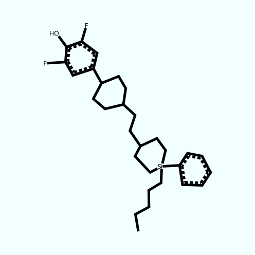 CCCCC[Si]1(c2ccccc2)CCC(CCC2CCC(c3cc(F)c(O)c(F)c3)CC2)CC1